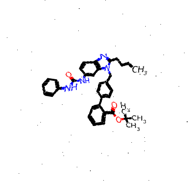 CCCCc1nc2ccc(NC(=O)Nc3ccccc3)cc2n1Cc1ccc(-c2ccccc2C(=O)OC(C)(C)C)cc1